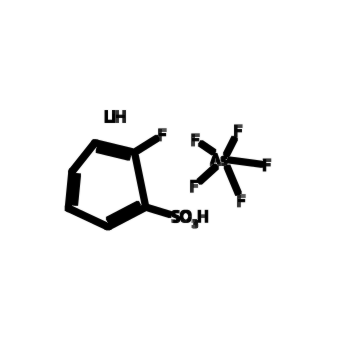 F[As](F)(F)(F)F.O=S(=O)(O)c1ccccc1F.[LiH]